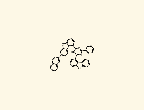 c1ccc(C2=NC(c3cccc4oc5cc(-c6ccc7ccccc7c6)ccc5c34)NC(c3cccc4oc5ccccc5c34)=N2)cc1